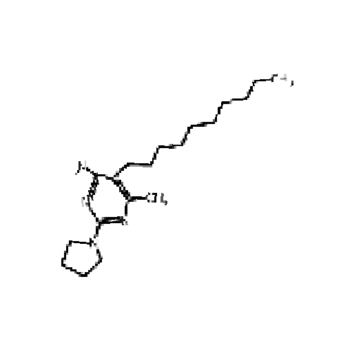 CCCCCCCCCCc1c(C)nc(N2CCCC2)nc1N